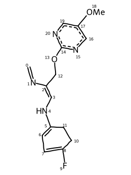 C=N/C(=C\NC1=CC=C(F)CC1)COc1ncc(OC)cn1